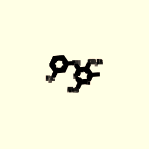 CCOC(=O)c1c(C)nc(SC)nc1Nc1cccc(C(F)(F)F)c1